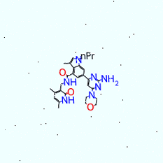 CCCn1cc(C)c2c(C(=O)NCc3c(C)cc(C)[nH]c3=O)cc(-c3cc(N4CCOCC4)nc(N)n3)cc21